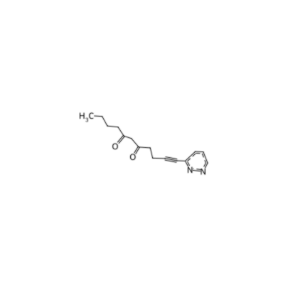 CCCCC(=O)CC(=O)CCC#Cc1cccnn1